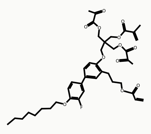 C=CC(=O)OCCCc1cc(-c2ccc(OCCCCCCCC)c(F)c2)ccc1OCC(COC(=O)C(=C)C)(COC(=O)C(C)=O)COC(=O)C(C)=O